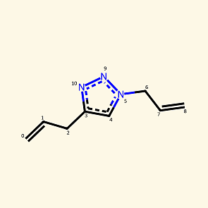 C=CCc1cn(CC=C)nn1